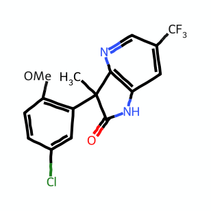 COc1ccc(Cl)cc1C1(C)C(=O)Nc2cc(C(F)(F)F)cnc21